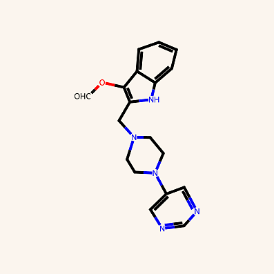 O=COc1c(CN2CCN(c3cncnc3)CC2)[nH]c2ccccc12